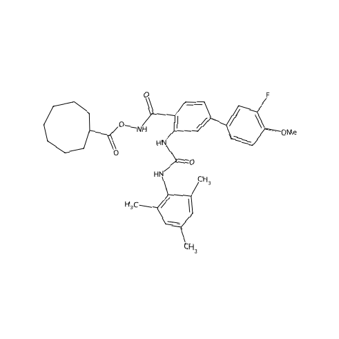 COc1ccc(-c2ccc(C(=O)NOC(=O)C3CCCCCCC3)c(NC(=O)Nc3c(C)cc(C)cc3C)c2)cc1F